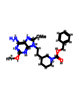 CCCOc1nc(N)c2nc(OC)n(CCC3CCCN(C(=O)OCc4ccccc4)C3)c2n1